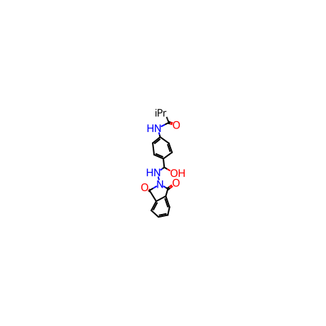 CC(C)C(=O)Nc1ccc(C(O)NN2C(=O)c3ccccc3C2=O)cc1